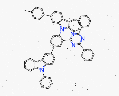 Cc1ccc(-c2ccc3c4ccccc4n(-c4ccc(-c5ccc6c(c5)c5ccccc5n6-c5ccccc5)cc4-c4nc(-c5ccccc5)nc(-c5ccccc5)n4)c3c2)cc1